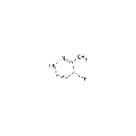 CCC1C=CNN=C1C